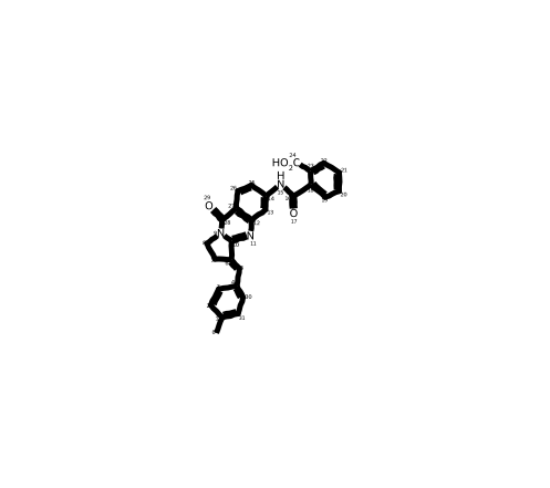 Cc1ccc(/C=C2\CCn3c2nc2cc(NC(=O)c4ccccc4C(=O)O)ccc2c3=O)cc1